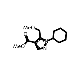 COCc1c(C(=O)OC)cnn1C1CCCCC1